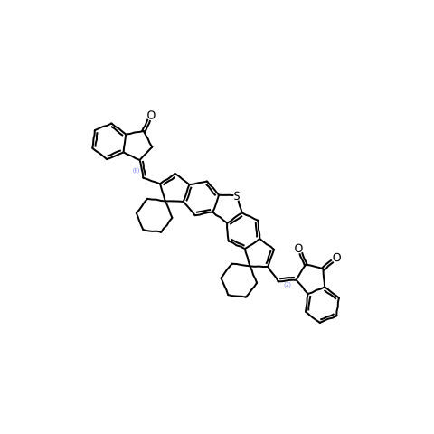 O=C1C(=O)c2ccccc2/C1=C/C1=Cc2cc3sc4cc5c(cc4c3cc2C12CCCCC2)C1(CCCCC1)C(/C=C1\CC(=O)c2ccccc21)=C5